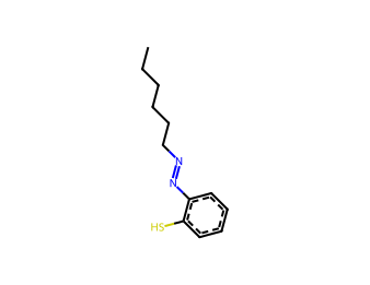 CCCCCCN=Nc1ccccc1S